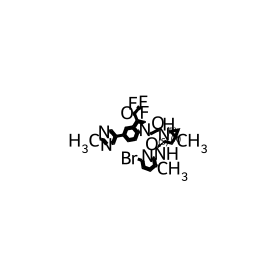 Cc1ncc(-c2ccc3c(c2)c(C(=O)C(F)(F)F)cn3CC(=O)N2[C@H](C(=O)Nc3nc(Br)ccc3C)C[C@@]3(C)C[C@@H]23)cn1